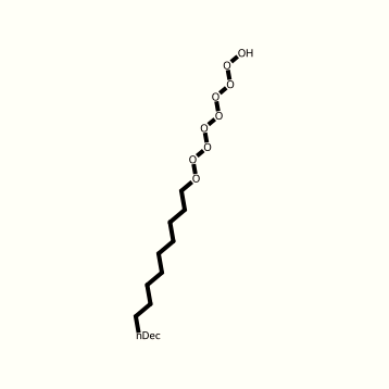 CCCCCCCCCCCCCCCCCCCOOOOOOOOO